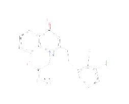 COC(=O)Cn1c(CCc2cccc(F)c2F)cc(=O)c2ccccc21